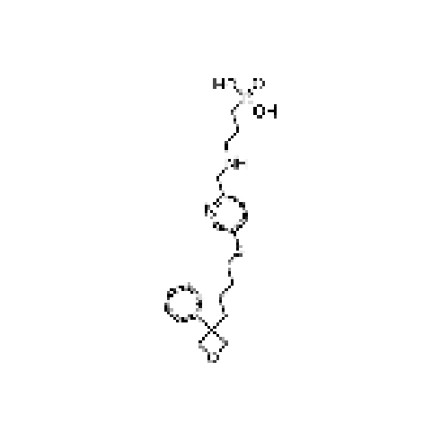 O=P(O)(O)CCCNCc1ccc(SCCCCC2(c3ccccc3)COC2)cn1